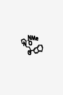 CNC(=O)[C@H]1CCCN1CCC(=O)c1ccc2ccccc2c1